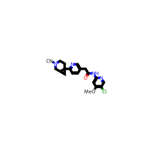 [C-]#[N+]N1CCC2(c3ccc(CC(=O)Nc4cc(OC)c(Cl)cn4)cn3)CC2C1